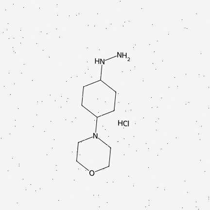 Cl.NNC1CCC(N2CCOCC2)CC1